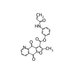 C=CC(=O)Nc1cccc(OC(=O)c2c(C)oc3c2C(=O)c2ncccc2C3=O)c1